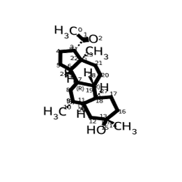 CC(=O)[C@H]1CC[C@H]2[C@@H]3C[C@@H](C)[C@@H]4C[C@@](C)(O)CC[C@@H]4[C@H]3CC[C@]12C